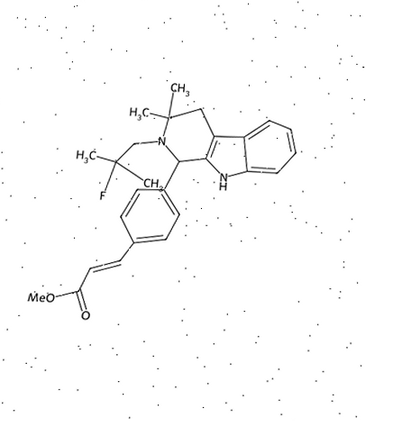 COC(=O)C=Cc1ccc(C2c3[nH]c4ccccc4c3CC(C)(C)N2CC(C)(C)F)cc1